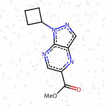 COC(=O)c1cnc2c(cnn2C2CCC2)n1